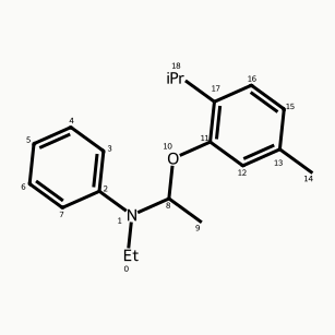 CCN(c1ccccc1)C(C)Oc1cc(C)ccc1C(C)C